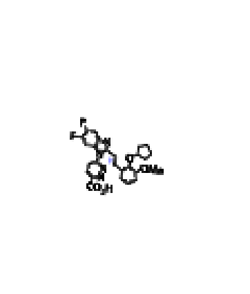 COc1cccc(/C=C/c2nc3cc(F)c(F)cc3n2-c2ccc(C(=O)O)nn2)c1OC1CCCC1